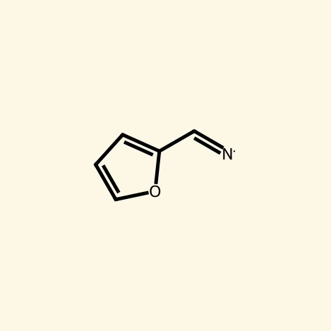 [N]=Cc1ccco1